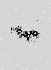 CC1(O)CCN(C(=O)c2cc3c(cn2)c(-c2coc4ccc(F)cc24)nn3CC(F)(F)F)CC1